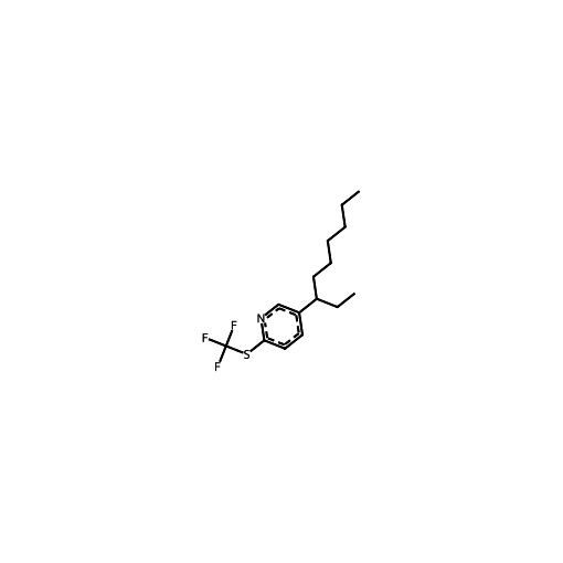 CCCCCCC(CC)c1ccc(SC(F)(F)F)nc1